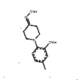 CON=C1CCN(c2ccc(C)cc2OC)CC1